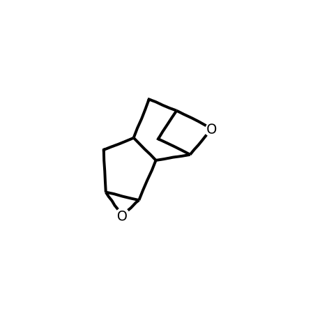 C1C2CC(O2)C2C1CC1OC12